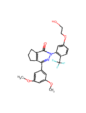 COc1cc(OC)cc(-c2nn(-c3cc(OCCO)ccc3C(F)(F)F)c(=O)c3c2CCC3)c1